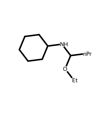 CCCC(NC1CCCCC1)OCC